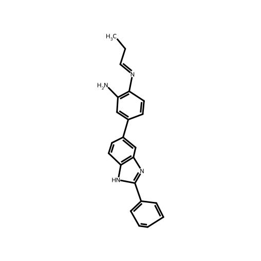 CC/C=N/c1ccc(-c2ccc3[nH]c(-c4ccccc4)nc3c2)cc1N